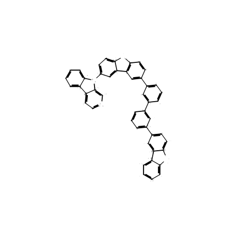 c1cc(-c2cccc(-c3ccc4sc5ccc(-n6c7ccccc7c7ccncc76)cc5c4c3)c2)cc(-c2ccc3oc4ccccc4c3c2)c1